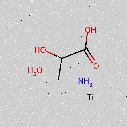 CC(O)C(=O)O.N.O.[Ti]